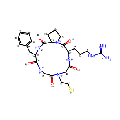 N=C(N)NCCC[C@H]1NC(=O)CN(CCS)C(=O)CNC(=O)[C@@H](Cc2ccccc2)NC(=O)C2CCCN2C1=O